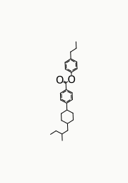 CCCc1ccc(OC(=O)c2ccc(C3CCC(CC(C)CC)CC3)cc2)cc1